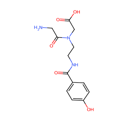 NCC(=O)N(CCNC(=O)c1ccc(O)cc1)CC(=O)O